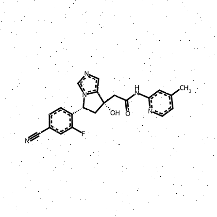 Cc1ccnc(NC(=O)C[C@@]2(O)C[C@H](c3ccc(C#N)cc3F)n3cncc32)c1